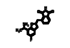 CC(N)c1cc(F)cc2c1OC(Cc1cccc3c1C(=O)NC3=O)C2